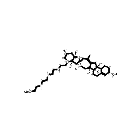 COCCOCCOCCOCCN1C[C@@H](C)C[C@H]2O[C@]3(CC[C@@H]4C(=C(C)C3)C[C@H]3C4CCC4=C[C@@H](O)CC[C@@]43C)[C@H](C)[C@@H]21